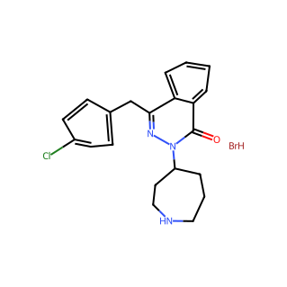 Br.O=c1c2ccccc2c(Cc2ccc(Cl)cc2)nn1C1CCCNCC1